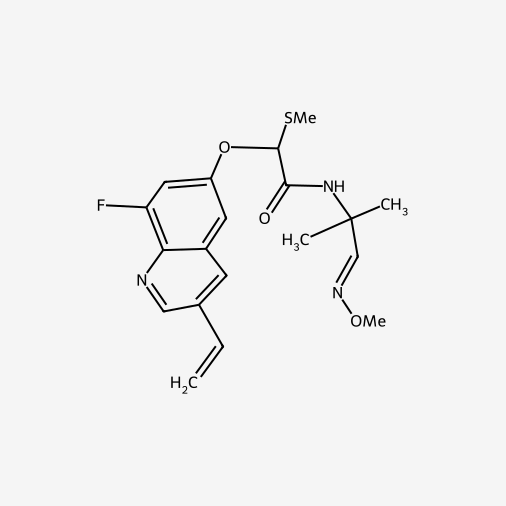 C=Cc1cnc2c(F)cc(OC(SC)C(=O)NC(C)(C)C=NOC)cc2c1